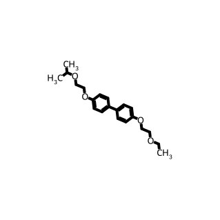 CCOCCOc1ccc(-c2ccc(OCCOC(C)C)cc2)cc1